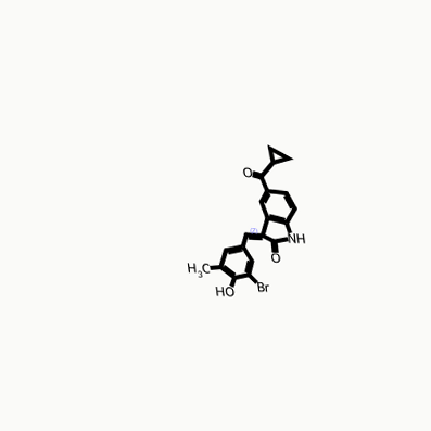 Cc1cc(/C=C2\C(=O)Nc3ccc(C(=O)C4CC4)cc32)cc(Br)c1O